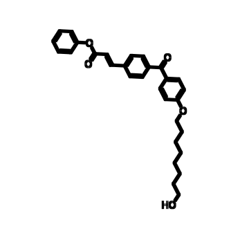 O=C(C=Cc1ccc(C(=O)c2ccc(OCCCCCCCCO)cc2)cc1)Oc1ccccc1